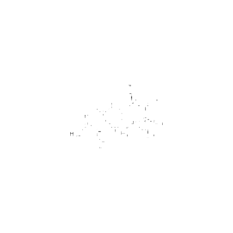 Cc1ccc2cc3c(cc2c1C)C(C)(C)C(=O)C(=O)C3=O